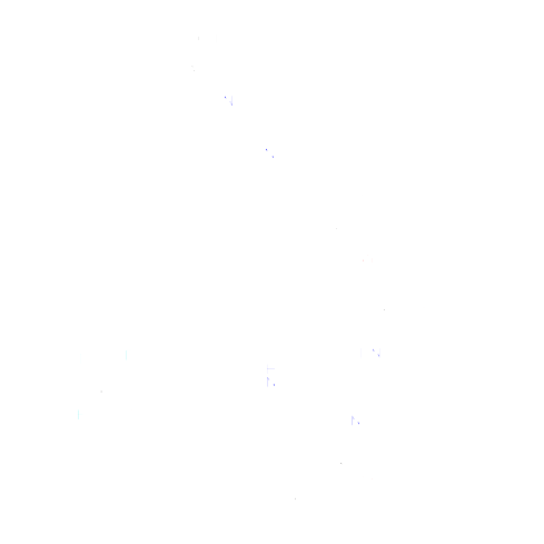 CCC(=O)N(CCNc1ccc(OC(F)(F)F)cc1)[C@H]1CCCCC1NC(=O)COc1ccc(N2CCN(C(C)=O)CC2)cc1